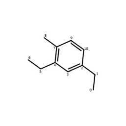 CCc1[c]c(CC)c(C)[c]c1